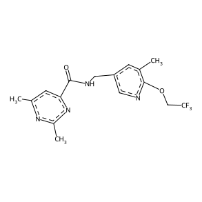 Cc1cc(C(=O)NCc2cnc(OCC(F)(F)F)c(C)c2)nc(C)n1